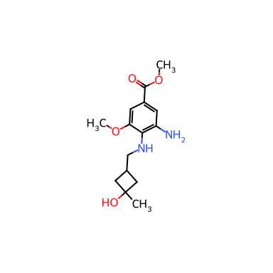 COC(=O)c1cc(N)c(NCC2CC(C)(O)C2)c(OC)c1